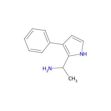 CC(N)c1[nH]ccc1-c1ccccc1